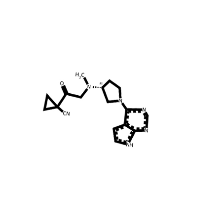 CN(CC(=O)C1(C#N)CC1)[C@@H]1CCN(c2ncnc3[nH]ccc23)C1